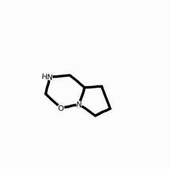 C1CC2CNCON2C1